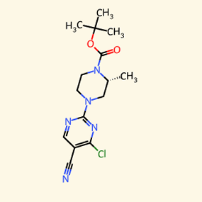 C[C@@H]1CN(c2ncc(C#N)c(Cl)n2)CCN1C(=O)OC(C)(C)C